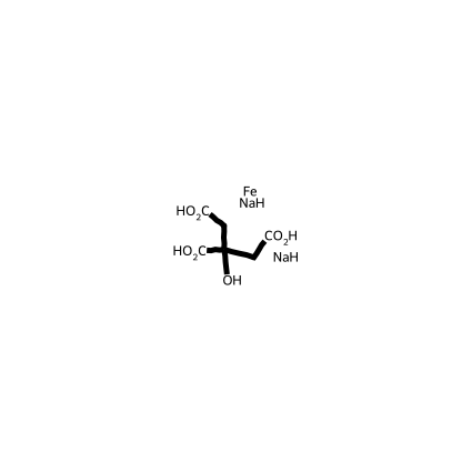 O=C(O)CC(O)(CC(=O)O)C(=O)O.[Fe].[NaH].[NaH]